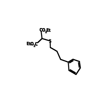 CCOC(=O)C(SCCCc1ccccc1)C(=O)OCC